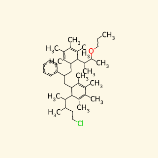 CCCOC(C)C(C)C1C(C)=C(C)C(C)=C(C)C1CC(CC1C(C)=C(C)C(C)=C(C)C1C(C)C(C)CCCl)c1ccccc1